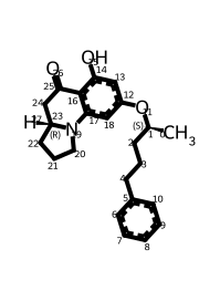 C[C@@H](CCCc1ccccc1)Oc1cc(O)c2c(c1)N1CCC[C@@H]1CC2=O